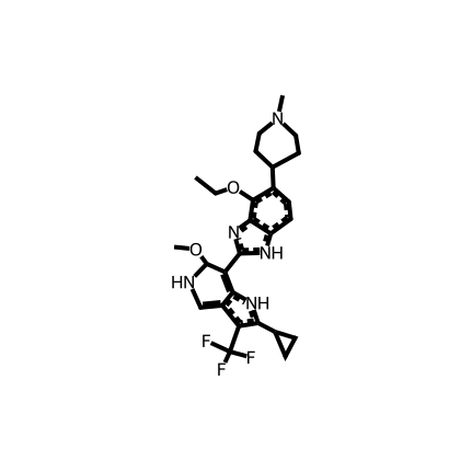 CCOc1c(C2CCN(C)CC2)ccc2[nH]c(C3=c4[nH]c(C5CC5)c(C(F)(F)F)c4=CNC3OC)nc12